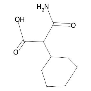 NC(=O)C(C(=O)O)C1CCCCC1